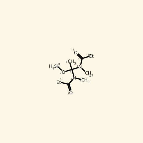 CCC(=O)N(C)C(C)(O[SiH3])N(C)C(=O)CC